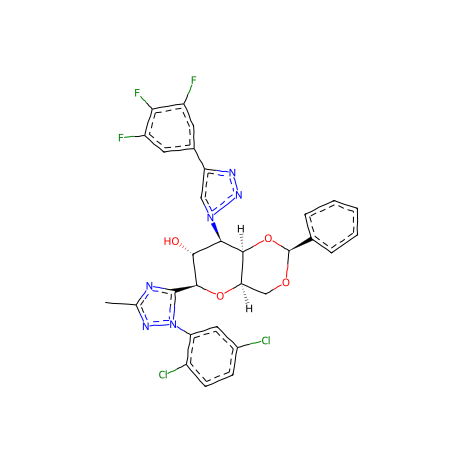 Cc1nc([C@@H]2O[C@@H]3CO[C@H](c4ccccc4)O[C@@H]3[C@H](n3cc(-c4cc(F)c(F)c(F)c4)nn3)[C@H]2O)n(-c2cc(Cl)ccc2Cl)n1